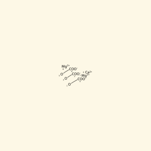 O=C([O-])[O-].O=C([O-])[O-].O=C([O-])[O-].[Ca+2].[Mg+2].[Mg+2]